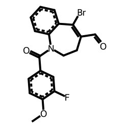 COc1ccc(C(=O)N2CCC(C=O)=C(Br)c3ccccc32)cc1F